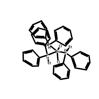 CC[PH](c1ccccc1)(c1ccccc1)[Ru]([Cl])([Cl])([PH](CC)(c1ccccc1)c1ccccc1)[PH](CC)(c1ccccc1)c1ccccc1